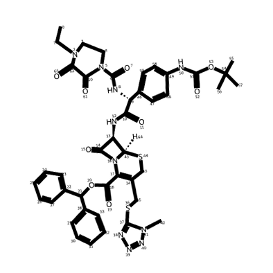 CCN1CCN(C(=O)N[C@@H](C(=O)N[C@@H]2C(=O)N3C(C(=O)OC(c4ccccc4)c4ccccc4)=C(CSc4nnnn4C)CS[C@H]23)c2ccc(NC(=O)OC(C)(C)C)cc2)C(=O)C1=O